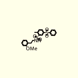 COc1ccccc1CCNS(=O)(=O)c1cc(S(=O)(=O)c2ccccc2)ccc1C